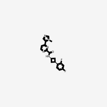 Cn1cncc1-c1ccnc(C(=O)N[C@H]2C[C@H](c3ccc(F)cc3F)C2)n1